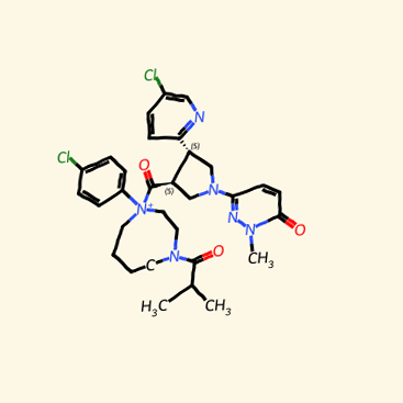 CC(C)C(=O)N1CCCC[N+](C(=O)[C@@H]2CN(c3ccc(=O)n(C)n3)C[C@H]2c2ccc(Cl)cn2)(c2ccc(Cl)cc2)CC1